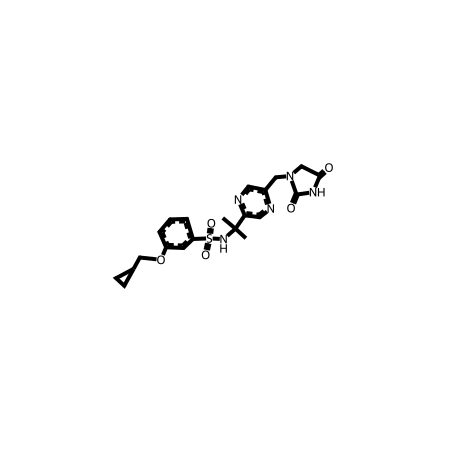 CC(C)(NS(=O)(=O)c1cccc(OCC2CC2)c1)c1cnc(CN2CC(=O)NC2=O)cn1